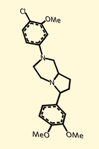 COc1cc(N2CCN3C(CCC3c3ccc(OC)c(OC)c3)C2)ccc1Cl